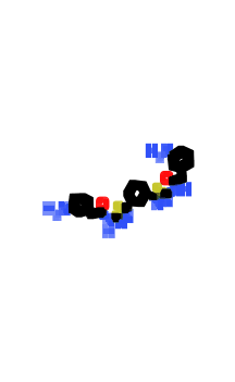 Nc1cccc(CC(=O)Nc2nnc([C@@H]3CCC[C@@H](c4nnc(NC(=O)Cc5cccc(N)c5)s4)C3)s2)c1